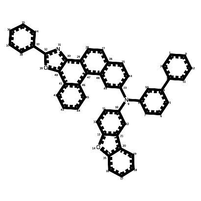 c1ccc(-c2cccc(N(c3ccc4oc5ccccc5c4c3)c3ccc4ccc5c6nc(-c7ccccc7)oc6c6ccccc6c5c4c3)c2)cc1